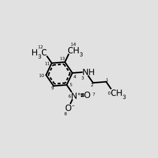 CCCNc1c([N+](=O)[O-])ccc(C)c1C